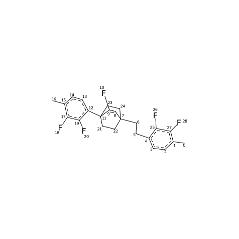 Cc1ccc(CCC23C=C(F)C(c4ccc(C)c(F)c4F)(CC2)CC3)c(F)c1F